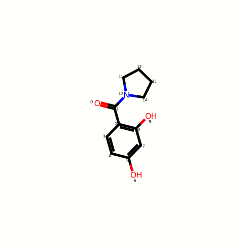 O=C(c1ccc(O)cc1O)N1CCCC1